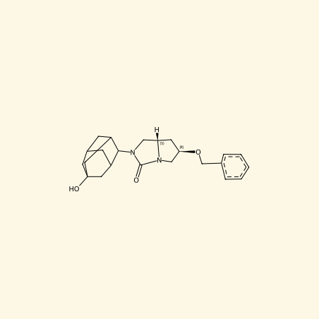 O=C1N(C2C3CC4CC2CC(O)(C4)C3)C[C@@H]2C[C@@H](OCc3ccccc3)CN12